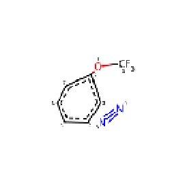 FC(F)(F)Oc1ccccc1.N#N